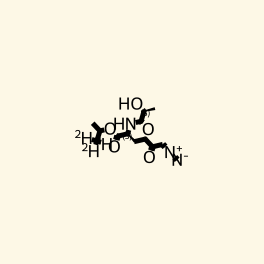 [2H]C([2H])([2H])C(C)OC(=O)[C@H](CCC(=O)C=[N+]=[N-])NC(=O)[C@H](C)O